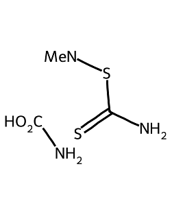 CNSC(N)=S.NC(=O)O